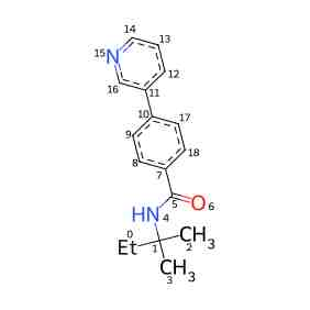 CCC(C)(C)NC(=O)c1ccc(-c2cccnc2)cc1